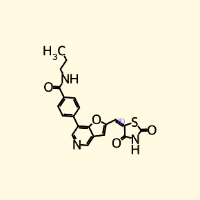 CCCNC(=O)c1ccc(-c2cncc3cc(/C=C4/SC(=O)NC4=O)oc23)cc1